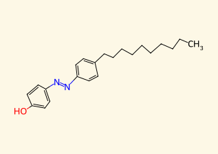 CCCCCCCCCCc1ccc(/N=N/c2ccc(O)cc2)cc1